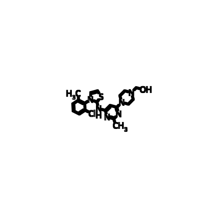 Cc1nc(NC2SC=CN2c2c(C)cccc2Cl)cc(N2CCN(CO)CC2)n1